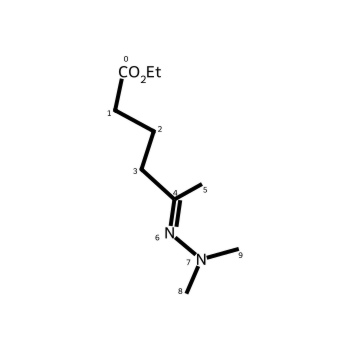 CCOC(=O)CCC/C(C)=N/N(C)C